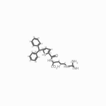 N=C(N)NCCCC(NC(=O)c1ccc(C(c2ccccc2)c2ccccc2)s1)C(=O)O